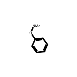 CNOc1cc[c]cc1